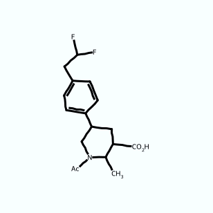 CC(=O)N1CC(c2ccc(CC(F)F)cc2)CC(C(=O)O)C1C